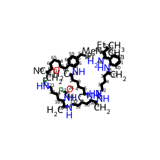 C=C(CCCCC(=C)NC(CCCCNC(=C)C(CCCCNF)NC(=O)F)C(=C)NNCCCCC(=C)NC1C=CC=CC1/C(N)=C(/NC)C(C)(C)CC)Nc1cc(CC(C)C)ccc1CC1CCCC(C(=C)C#N)O1